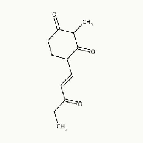 CCC(=O)/C=C/C1CCC(=O)C(C)C1=O